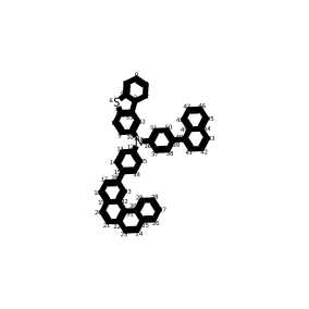 C1=CCC2C(=C1)Sc1ccc(N(c3ccc(-c4ccc5ccc6ccc7ccccc7c6c5c4)cc3)c3ccc(-c4cccc5ccccc45)cc3)cc12